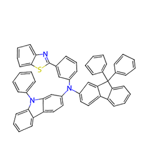 c1ccc(-n2c3ccccc3c3ccc(N(c4cccc(-c5nc6ccccc6s5)c4)c4ccc5c(c4)C(c4ccccc4)(c4ccccc4)c4ccccc4-5)cc32)cc1